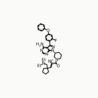 CCN(CC)CC1(/C=C(\C#N)C(=O)N2CCC[C@H](n3nc(-c4ccc(Oc5ccccc5)cc4F)c4c(N)ncnc43)C2)CCCC1